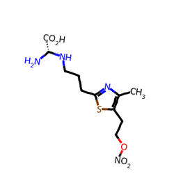 Cc1nc(CCCN[C@H](N)C(=O)O)sc1CCO[N+](=O)[O-]